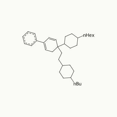 CCCCCCC1CCC(C2(CCC3CCC(CCCC)CC3)C=CC(c3ccccc3)=CC2)CC1